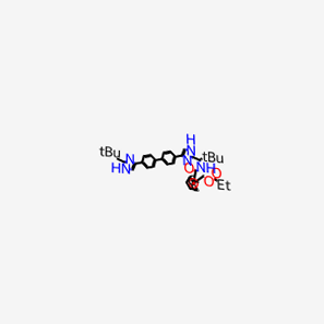 CCC(=O)OCC1(C(=O)NC(c2nc(-c3ccc(-c4ccc(-c5c[nH]c(CC(C)(C)C)n5)cc4)cc3)c[nH]2)C(C)(C)C)OC2CCC1CC2